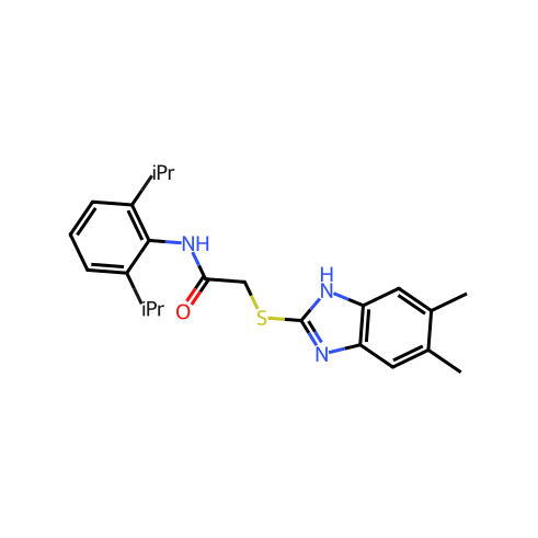 Cc1cc2nc(SCC(=O)Nc3c(C(C)C)cccc3C(C)C)[nH]c2cc1C